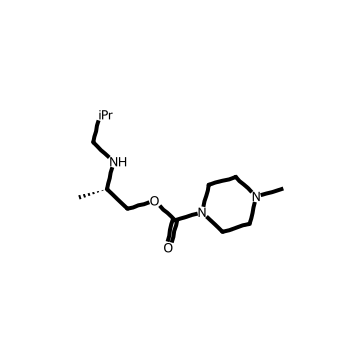 CC(C)CN[C@@H](C)COC(=O)N1CCN(C)CC1